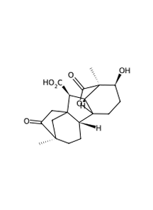 C[C@]12CC[C@@H]3C(CC1=O)(C2)[C@@H](C(=O)O)[C@H]1C32CC[C@H](O)[C@]1(C)C(=O)O2